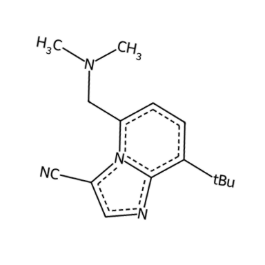 CN(C)Cc1ccc(C(C)(C)C)c2ncc(C#N)n12